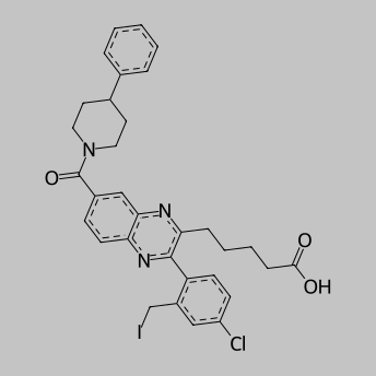 O=C(O)CCCCc1nc2cc(C(=O)N3CCC(c4ccccc4)CC3)ccc2nc1-c1ccc(Cl)cc1CI